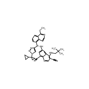 COc1nccc2c([C@H](Nc3cc(C#N)c4ncc(C#N)c(NCC(C)(C)C)c4c3)c3cn(C4(C5CC5)CC4)nn3)cccc12